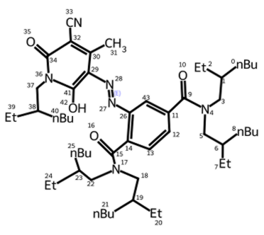 CCCCC(CC)CN(CC(CC)CCCC)C(=O)c1ccc(C(=O)N(CC(CC)CCCC)CC(CC)CCCC)c(/N=N/c2c(C)c(C#N)c(=O)n(CC(CC)CCCC)c2O)c1